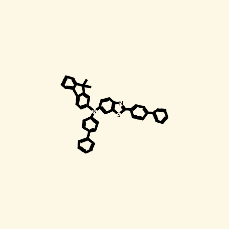 CC1(C)c2ccccc2-c2ccc(N(c3ccc(-c4ccccc4)cc3)c3ccc4nc(-c5ccc(-c6ccccc6)cc5)sc4c3)cc21